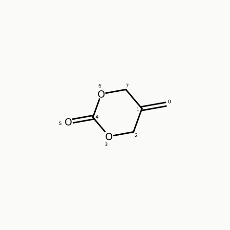 C=C1COC(=O)OC1